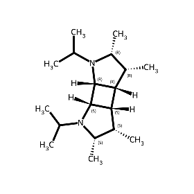 CC(C)N1[C@@H]2[C@H]([C@@H](C)[C@H]1C)[C@@H]1[C@H](C)[C@H](C)N(C(C)C)[C@@H]12